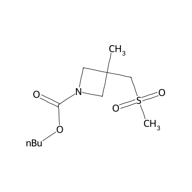 CCCCOC(=O)N1CC(C)(CS(C)(=O)=O)C1